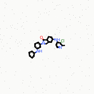 Cc1nccc(Nc2ccc3c(c2)CN(c2cccc(Nc4ccccc4)c2)C3=O)c1Cl